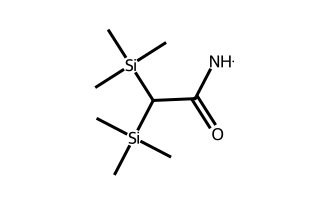 C[Si](C)(C)C(C([NH])=O)[Si](C)(C)C